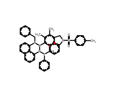 Cc1ccc(S(=O)(=O)N2Cc3c(C)c(C)c(B4N(Cc5ccccc5)c5cccc6cccc(c56)N4P(c4ccccc4)c4ccccc4)c(C)c3C2)cc1